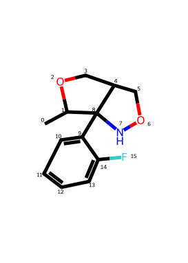 CC1OCC2CONC21c1ccccc1F